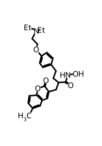 CCN(CC)CCOc1ccc(CCC(Cc2cc3cc(C)ccc3oc2=O)C(=O)NO)cc1